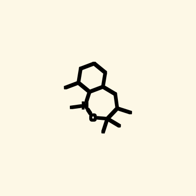 CC1CCCC2CC(C)C(C)(C)ON(C)C12